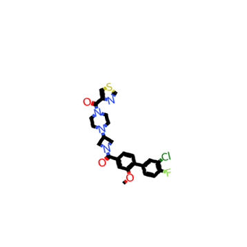 COc1cc(C(=O)N2CC(N3CCN(C(=O)c4cscn4)CC3)C2)ccc1-c1ccc(F)c(Cl)c1